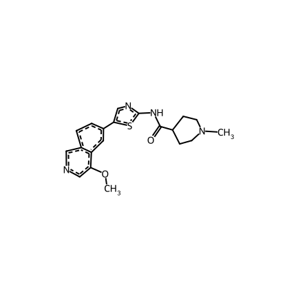 COc1cncc2ccc(-c3cnc(NC(=O)C4CCN(C)CC4)s3)cc12